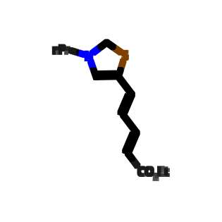 CCCN1C=C(C=CC=CC(=O)OCC)SC1